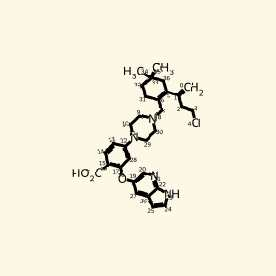 C=C(CCCl)C1=C(CN2CCN(c3ccc(C(=O)O)c(Oc4cnc5[nH]ccc5c4)c3)CC2)CCC(C)(C)C1